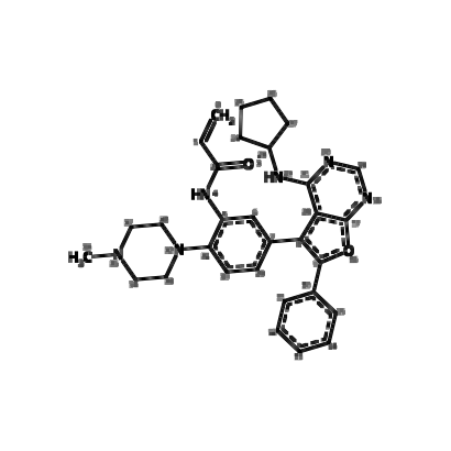 C=CC(=O)Nc1cc(-c2c(-c3ccccc3)oc3ncnc(NC4CCCC4)c23)ccc1N1CCN(C)CC1